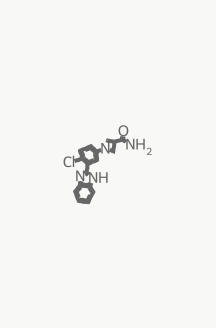 NC(=O)C1CN(c2ccc(Cl)c(-c3nc4ccccc4[nH]3)c2)C1